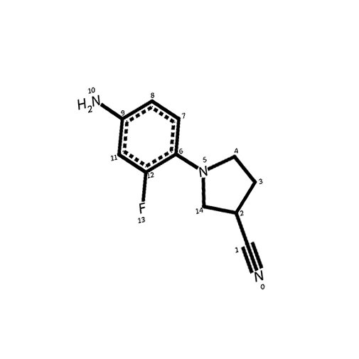 N#CC1CCN(c2ccc(N)cc2F)C1